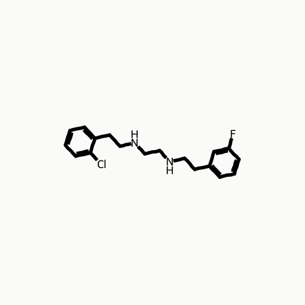 Fc1cccc(CCNCCNCCc2ccccc2Cl)c1